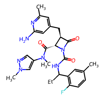 CCC(NC(=O)N1C(=O)[C@H](Cc2cc(C)nc(N)c2)[C@H]1C(=O)N(C)c1cnn(C)c1)c1cc(C)ccc1F